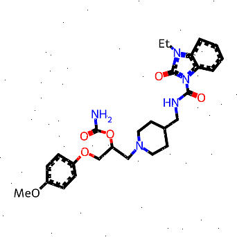 CCn1c(=O)n(C(=O)NCC2CCN(CC(COc3ccc(OC)cc3)OC(N)=O)CC2)c2ccccc21